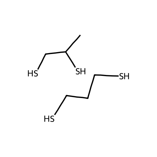 CC(S)CS.SCCCS